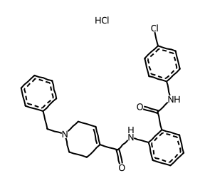 Cl.O=C(Nc1ccccc1C(=O)Nc1ccc(Cl)cc1)C1=CCN(Cc2ccccc2)CC1